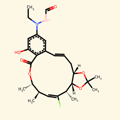 CCN(BC=O)c1cc(O)c2c(c1)/C=C/C[C@@H]1OC(C)(C)O[C@@H]1[C@H](C)/C(F)=C\[C@@H](C)[C@H](C)OC2=O